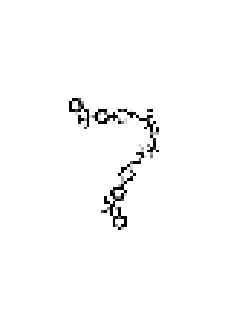 CCC(Cc1ccccc1)(c1ccc(N2CCN(CCC(=O)OC(C)(C)CCOC(C)(C)C(=O)CCN3CCN(c4ccc(C(CC)(Cc5ccccc5)N(C)C)cc4)CC3)CC2)cc1)N(C)C